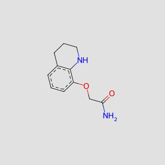 NC(=O)COc1cccc2c1NCCC2